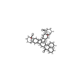 O=C1c2cc3c(cc2C2CCC1CC2)c1cc2c(=O)c4cccc5cccc(c54)c2c2c4cc5c(cc4n3c12)C(=O)C1CCC5CC1